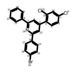 Clc1ccc(-c2cc(-c3ccccc3)nc(-c3ccc(Br)cc3)c2)c(Cl)c1